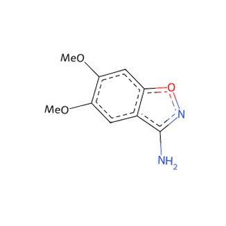 COc1cc2onc(N)c2cc1OC